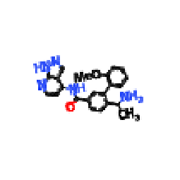 COc1ccccc1-c1cc(C(=O)Nc2ccnc3[nH]ncc23)ccc1C(C)N